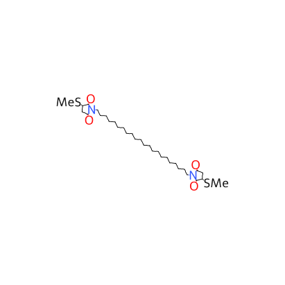 CSC1CC(=O)N(CCCCCCCCCCCCCCCCCCCCCCN2C(=O)CC(SC)C2=O)C1=O